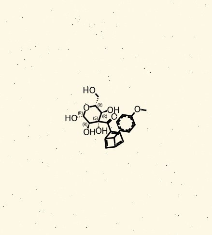 COc1ccc(C2C3=CC=C(C(=O)[C@]4(O)[C@H](O)[C@@H](CO)O[C@@H](O)[C@@H]4O)C2=C3)cc1